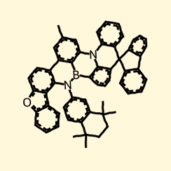 Cc1cc2c3c(c1)N1c4ccccc4C4(c5ccccc5-c5ccccc54)c4cccc(c41)B3N(c1ccc3c(c1)C(C)(C)CCC3(C)C)c1c-2ccc2oc3ccccc3c12